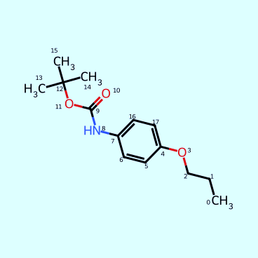 CCCOc1ccc(NC(=O)OC(C)(C)C)cc1